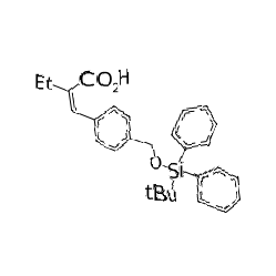 CCC(=Cc1ccc(CO[Si](c2ccccc2)(c2ccccc2)C(C)(C)C)cc1)C(=O)O